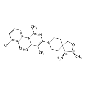 CC1=NC(N2CCC3(CC2)CO[C@@H](C)[C@H]3N)=C(C(F)(F)F)C(O)N1c1cccc(Cl)c1Cl